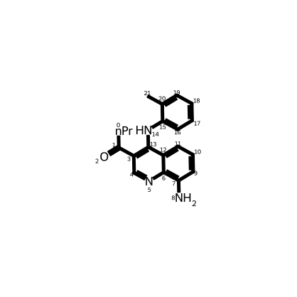 CCCC(=O)c1cnc2c(N)cccc2c1Nc1ccccc1C